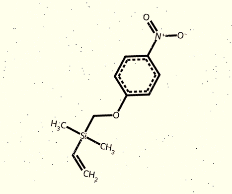 C=C[Si](C)(C)COc1ccc([N+](=O)[O-])cc1